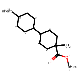 CCCCCCOC(=O)C1(C)CCC(C2CCC(CCCCC)CC2)CC1